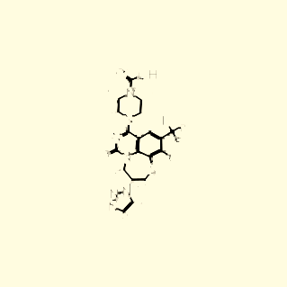 C[C@@H]1CN(c2nc(=O)n3c4c(c(Cl)c(C(F)(F)F)cc24)SC[C@@H](n2ccnn2)C3)C[C@H](C)N1C(=O)O